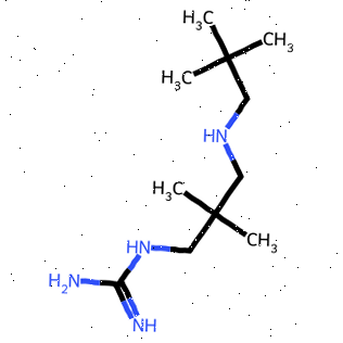 CC(C)(C)CNCC(C)(C)CNC(=N)N